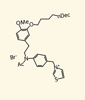 CCCCCCCCCCCCCCOc1cc(CCN(C(C)=O)c2ccc(C[n+]3ccsc3)cc2)ccc1OC.[Br-]